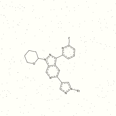 CCn1cc(-c2cc3c(-c4cccc(F)n4)nn(C4CCCCO4)c3cn2)cn1